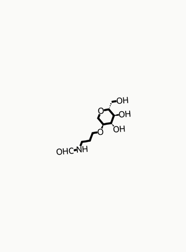 O=CNCCCO[C@H]1CO[C@H](CO)[C@@H](O)[C@@H]1O